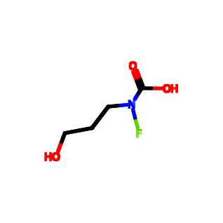 O=C(O)N(F)CCCO